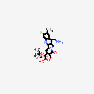 CC[C@]1(OC(C)(C)C)c2cc3n(c(=O)c2COC1O)Cc1c-3nc2cc(F)c(C)cc2c1CN